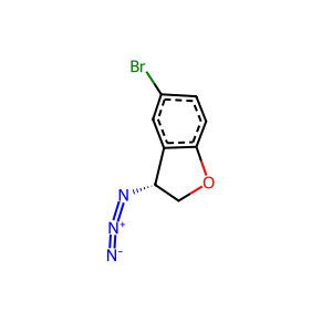 [N-]=[N+]=N[C@H]1COc2ccc(Br)cc21